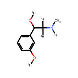 [2H]Oc1cccc(C(O[2H])C([2H])([2H])N([2H])C)c1